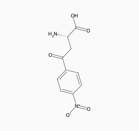 N[C@@H](CC(=O)c1ccc([N+](=O)[O-])cc1)C(=O)O